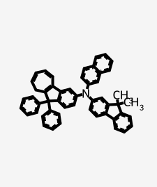 CC1(C)c2ccccc2-c2ccc(N(c3ccc4c(c3)C3=C(CC=CC=C3)C4(c3ccccc3)c3ccccc3)c3ccc4ccccc4c3)cc21